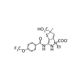 CC[N+]1(C(=O)[O-])NC(NC(=O)c2ccc(OC(F)(F)F)cc2)=C2SC(C)(C(=O)O)C=C21